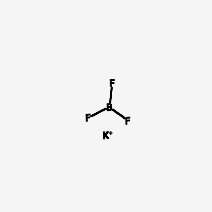 FB(F)F.[K+]